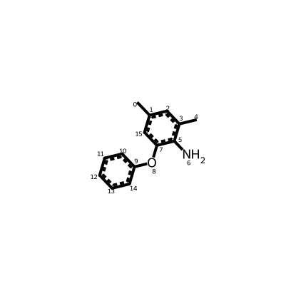 Cc1cc(C)c(N)c(Oc2ccccc2)c1